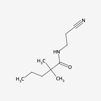 CCCC(C)(C)C(=O)NCCC#N